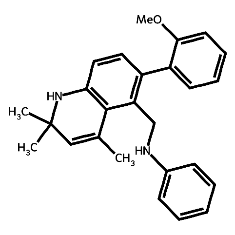 COc1ccccc1-c1ccc2c(c1CNc1ccccc1)C(C)=CC(C)(C)N2